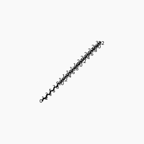 CC=CCCCCCCCCCCCCCCCCCCCCCCCCCCCCCC